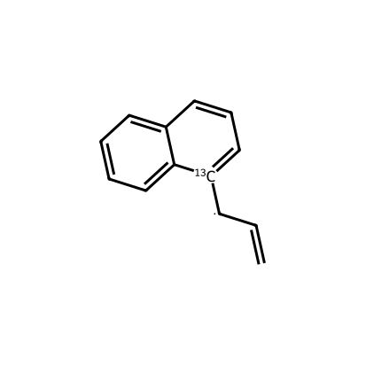 C=C[CH][13c]1cccc2ccccc21